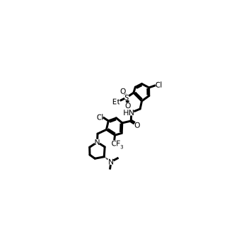 CCS(=O)(=O)c1ccc(Cl)cc1CNC(=O)c1cc(Cl)c(CN2CCC[C@@H](N(C)C)C2)c(C(F)(F)F)c1